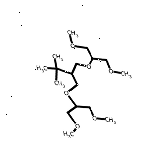 COCC(COC)OCC(COC(COC)COC)C(C)(C)C